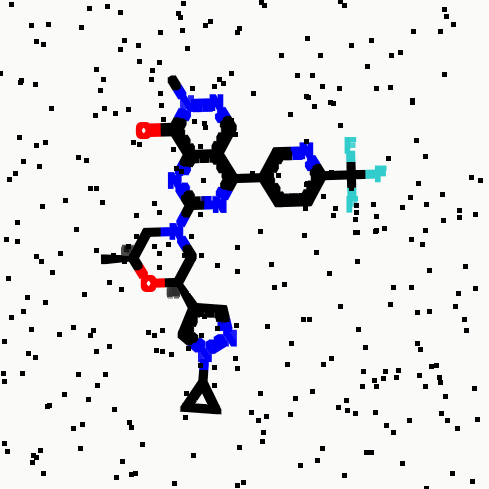 C[C@H]1CN(c2nc(-c3ccc(C(F)(F)F)nc3)c3cnn(C)c(=O)c3n2)C[C@@H](c2cnn(C3CC3)c2)O1